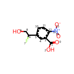 O=C(O)c1cc(C(F)CO)ccc1[N+](=O)[O-]